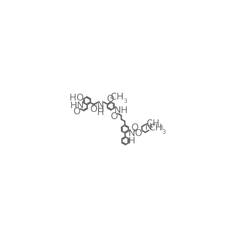 COc1cc(NC(=O)CCCc2ccc(-c3ccccc3)c(NC(=O)OC3CC[N+](C)(C)CC3)c2)ccc1CNC[C@H](O)c1ccc(O)c2[nH]c(=O)ccc12